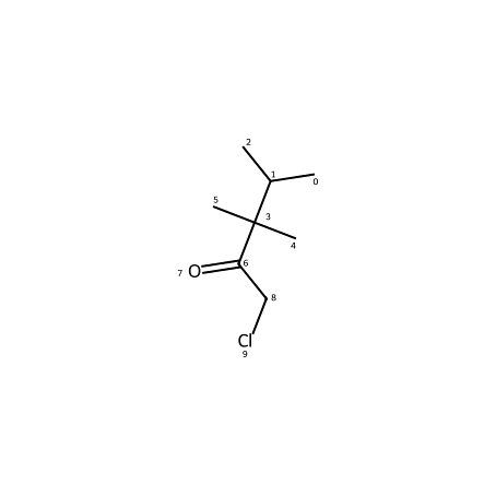 CC(C)C(C)(C)C(=O)CCl